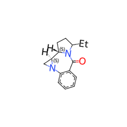 CCC1CC[C@H]2[C@@H]3CN3c3ccccc3C(=O)N12